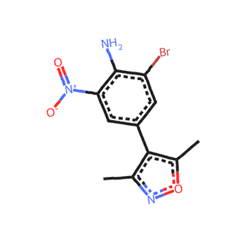 Cc1noc(C)c1-c1cc(Br)c(N)c([N+](=O)[O-])c1